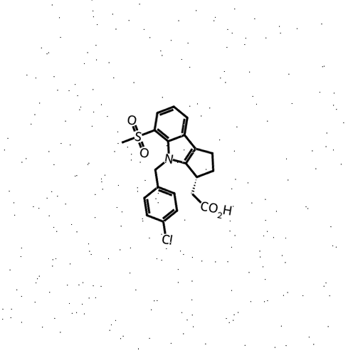 CS(=O)(=O)c1cccc2c3c(n(Cc4ccc(Cl)cc4)c12)[C@@H](CC(=O)O)CC3